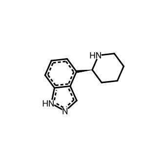 c1cc([C@@H]2CCCCN2)c2cn[nH]c2c1